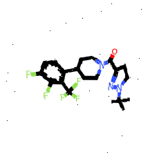 CC(C)(C)N1CCC(C(=O)N2CCC(c3ccc(F)c(F)c3C(F)(F)F)CC2)=N1